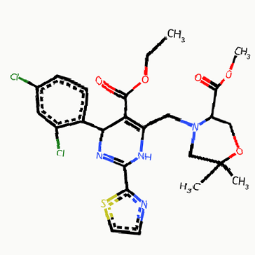 CCOC(=O)C1=C(CN2CC(C)(C)OCC2C(=O)OC)NC(c2nccs2)=NC1c1ccc(Cl)cc1Cl